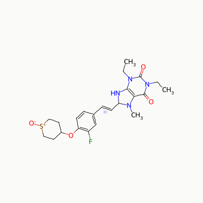 CCn1c2c(c(=O)n(CC)c1=O)N(C)C(/C=C/c1ccc(OC3CC[S+]([O-])CC3)c(F)c1)N2